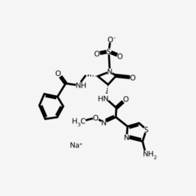 CON=C(C(=O)N[C@H]1C(=O)N(S(=O)(=O)[O-])[C@H]1CNC(=O)c1ccccc1)c1csc(N)n1.[Na+]